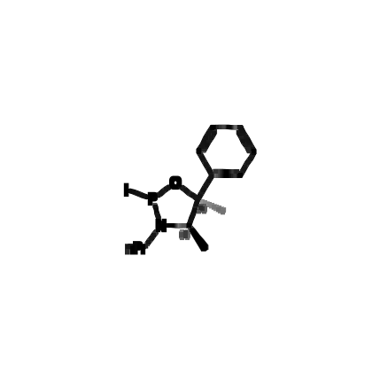 CCCN1[C@H](C)[C@](C)(c2ccccc2)OP1I